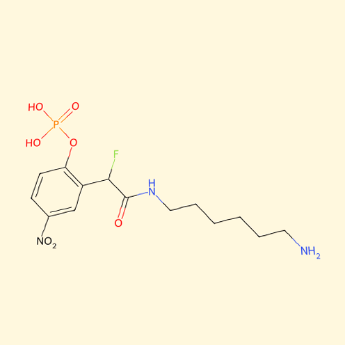 NCCCCCCNC(=O)C(F)c1cc([N+](=O)[O-])ccc1OP(=O)(O)O